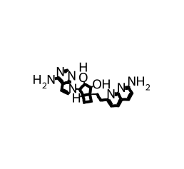 Nc1ccc2ccc(CC[C@@]34CC[C@@H]3[C@@H](n3ccc5c(N)ncnc53)[C@H](O)[C@@H]4O)nc2n1